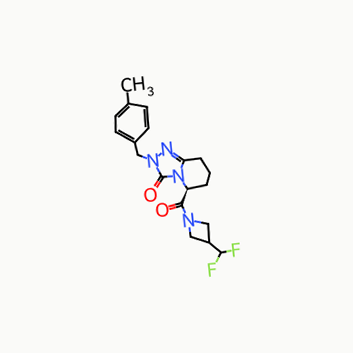 Cc1ccc(Cn2nc3n(c2=O)[C@H](C(=O)N2CC(C(F)F)C2)CCC3)cc1